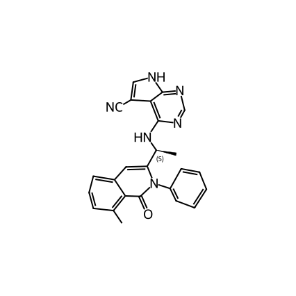 Cc1cccc2cc([C@H](C)Nc3ncnc4[nH]cc(C#N)c34)n(-c3ccccc3)c(=O)c12